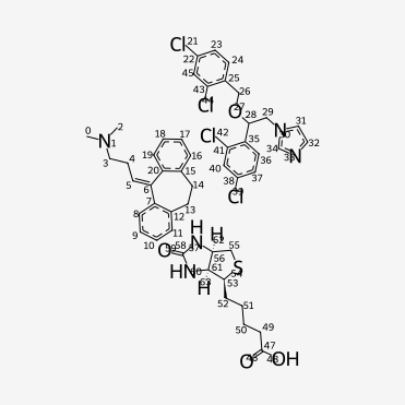 CN(C)CCC=C1c2ccccc2CCc2ccccc21.Clc1ccc(COC(Cn2ccnc2)c2ccc(Cl)cc2Cl)c(Cl)c1.O=C(O)CCCC[C@@H]1SC[C@@H]2NC(=O)N[C@@H]21